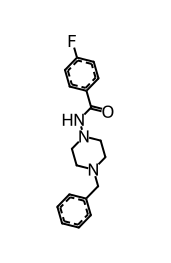 O=C(NN1CCN(Cc2ccccc2)CC1)c1ccc(F)cc1